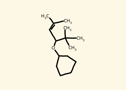 CC(C)=CC(OC1CCCCC1)C(C)(C)C